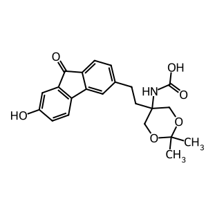 CC1(C)OCC(CCc2ccc3c(c2)-c2ccc(O)cc2C3=O)(NC(=O)O)CO1